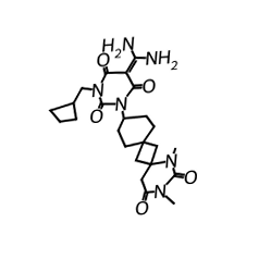 CN1C(=O)CC2(CC3(CCC(N4C(=O)C(=C(N)N)C(=O)N(CC5CCC5)C4=O)CC3)C2)N(C)C1=O